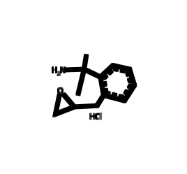 CC(C)(N)c1ccccc1CC1CO1.Cl